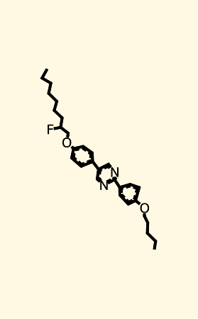 CCCCCCCC(F)COc1ccc(-c2cnc(-c3ccc(OCCCCC)cc3)nc2)cc1